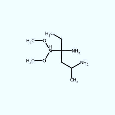 CCC(N)(CC(C)N)[SiH](OC)OC